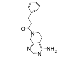 Nc1ncnc2c1CCN(C(=O)CCc1ccccc1)C2